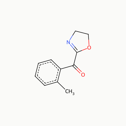 Cc1ccccc1C(=O)C1=NCCO1